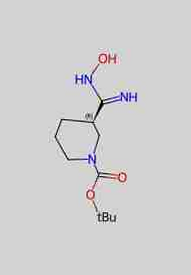 CC(C)(C)OC(=O)N1CCC[C@@H](C(=N)NO)C1